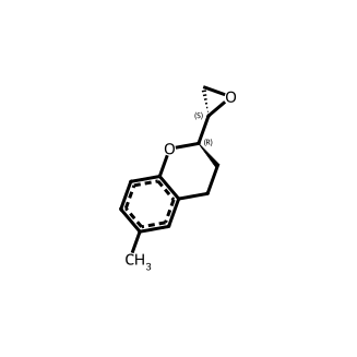 Cc1ccc2c(c1)CC[C@H]([C@@H]1CO1)O2